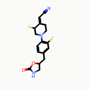 N#CC=C1CCN(c2ccc([CH]C3CNC(=O)O3)cc2F)CC1F